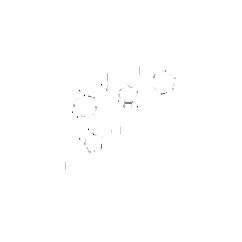 Cc1cc(C)n(-c2cc(Nc3c(C)c(-c4ccccc4)nn3C)ncn2)n1